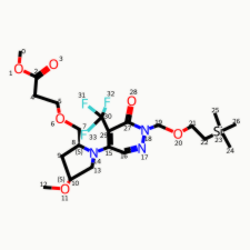 COC(=O)CCOC[C@@H]1C[C@H](OC)CN1c1cnn(COCC[Si](C)(C)C)c(=O)c1C(F)(F)F